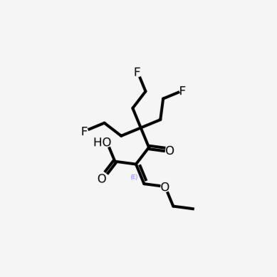 CCO/C=C(/C(=O)O)C(=O)C(CCF)(CCF)CCF